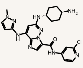 Cn1ccc(Nc2cc(N[C@H]3CC[C@H](N)CC3)nn3c(C(=O)Nc4ccnc(Cl)c4)cnc23)n1